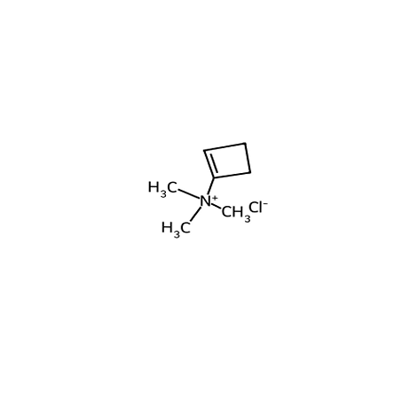 C[N+](C)(C)C1=CCC1.[Cl-]